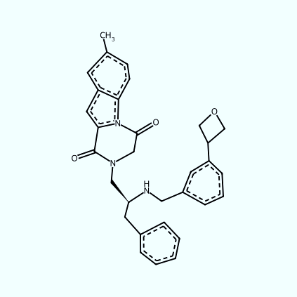 Cc1ccc2c(c1)cc1n2C(=O)CN(C[C@H](Cc2ccccc2)NCc2cccc(C3COC3)c2)C1=O